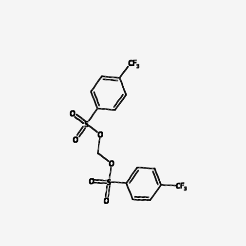 O=S(=O)(OCOS(=O)(=O)c1ccc(C(F)(F)F)cc1)c1ccc(C(F)(F)F)cc1